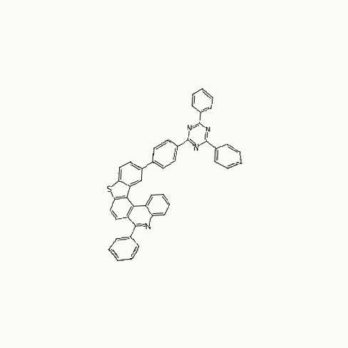 c1ccc(-c2nc(-c3ccccc3)nc(-c3ccc(-c4ccc5sc6ccc7c(-c8ccccc8)nc8ccccc8c7c6c5c4)cc3)n2)cc1